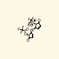 O=C1C=CC(=O)N1OS(=O)C(F)(F)F.O=C1C=CC(=O)N1[SH](=O)(O)C(F)(F)F